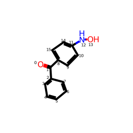 O=C(c1ccccc1)c1ccc(NO)cc1